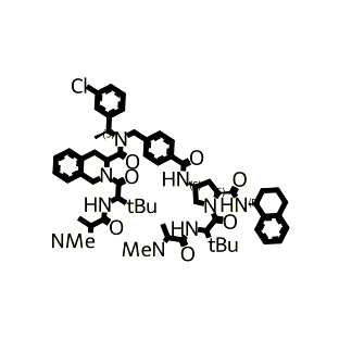 CNC(C)C(=O)NC(C(=O)N1Cc2ccccc2CC1C(=O)N(Cc1ccc(C(=O)N[C@H]2C[C@@H](C(=O)N[C@@H]3CCCc4ccccc43)N(C(=O)C(NC(=O)C(C)NC)C(C)(C)C)C2)cc1)[C@@H](C)c1cccc(Cl)c1)C(C)(C)C